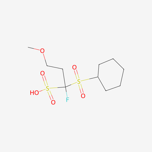 COCCC(F)(S(=O)(=O)O)S(=O)(=O)C1CCCCC1